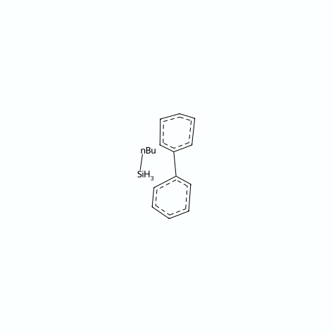 CCCC[SiH3].c1ccc(-c2ccccc2)cc1